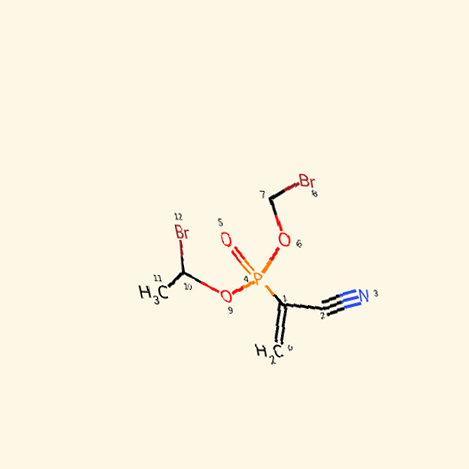 C=C(C#N)P(=O)(OCBr)OC(C)Br